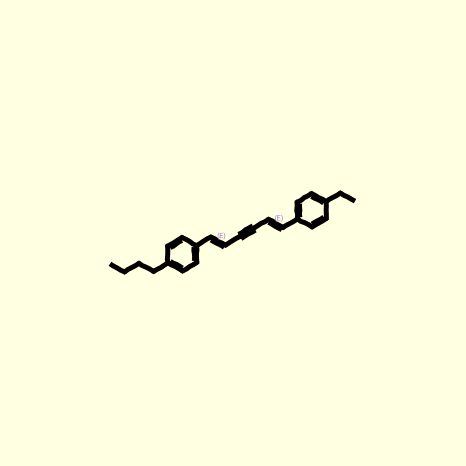 CCCCc1ccc(/C=C/C#C/C=C/c2ccc(CC)cc2)cc1